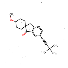 COC1CCC2(CC1)Cc1ccc(C#CC(C)(C)C)cc1C2=O